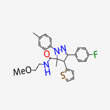 COCCNC(=O)C1(C)C(c2cccs2)C(c2ccc(F)cc2)=NN1c1ccc(C)cc1